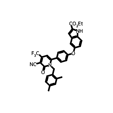 CCOC(=O)c1cc2cc(Oc3ccc(-c4cc(C(F)(F)F)c(C#N)c(=O)n4Cc4ccc(C)cc4C)cc3)ccc2[nH]1